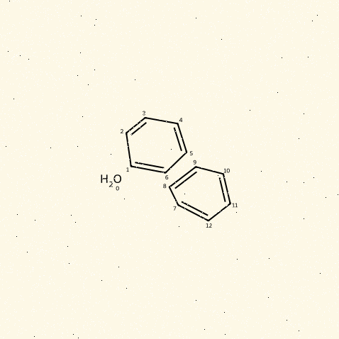 O.c1ccccc1.c1ccccc1